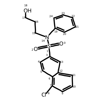 O=S(=O)(c1ccc2c(Cl)cccc2c1)N(CCCO)c1ccccc1